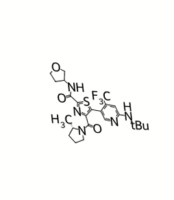 C[C@H]1CCCN1C(=O)c1nc(C(=O)NC2CCOC2)sc1-c1cnc(NC(C)(C)C)cc1C(F)(F)F